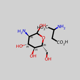 NC(CC(=O)O)C(=O)O.N[C@H]1C(O)O[C@H](CO)[C@@H](O)[C@@H]1O